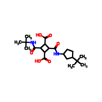 CC(C)(C)NC(=O)C1C(C(=O)O)C(C(=O)NC2CCC(C(C)(C)C)C2)C1C(=O)O